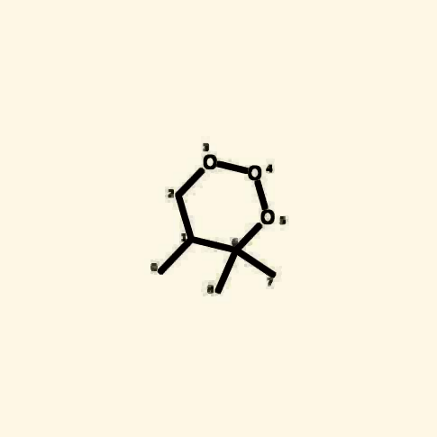 CC1COOOC1(C)C